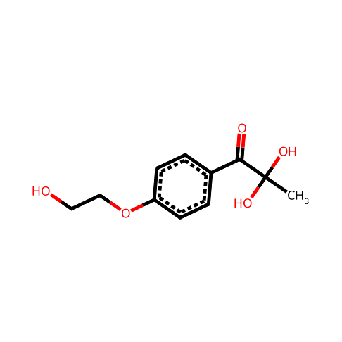 CC(O)(O)C(=O)c1ccc(OCCO)cc1